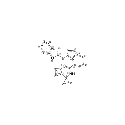 O=C(NC1(C23CC(C2)C3)CC1)c1cccc2ccn(Cc3cc4ccccc4o3)c12